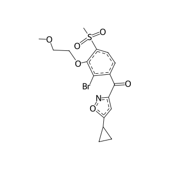 COCCOc1c(S(C)(=O)=O)ccc(C(=O)c2cc(C3CC3)on2)c1Br